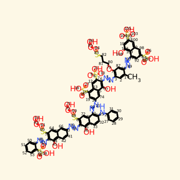 Cc1cc(N=Nc2c(S(=O)(=O)O)cc3c(S(=O)(=O)O)cc(N=Nc4c(Nc5ccccc5)ccc5c(O)c(N=Nc6ccc7c(O)c(N=Nc8ccccc8S(=O)(=O)O)c(SOOO)cc7c6)c(SOOO)cc45)cc3c2O)c(OCCCSOOO)cc1N=Nc1cc(S(=O)(=O)O)cc2cc(S(=O)(=O)O)cc(O)c12